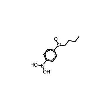 CCCC[S+]([O-])c1ccc(B(O)O)cc1